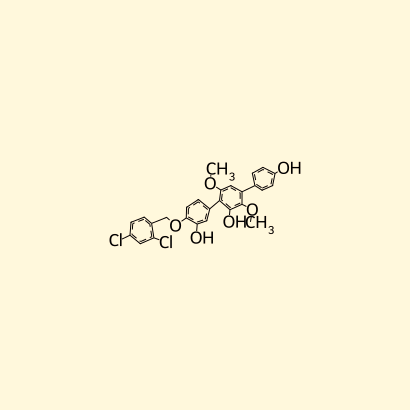 COc1cc(-c2ccc(O)cc2)c(OC)c(O)c1-c1ccc(OCc2ccc(Cl)cc2Cl)c(O)c1